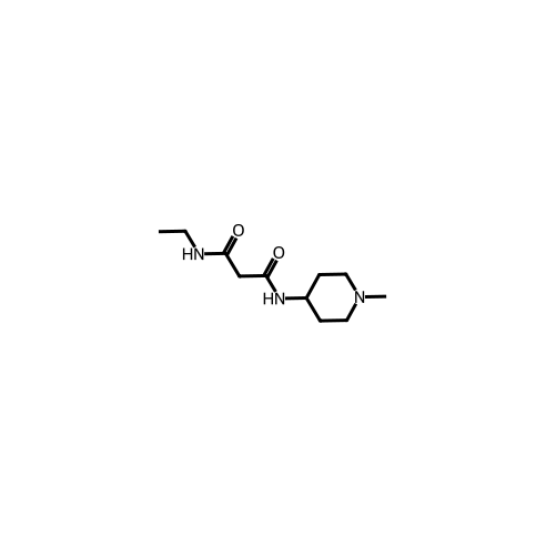 CCNC(=O)CC(=O)NC1CCN(C)CC1